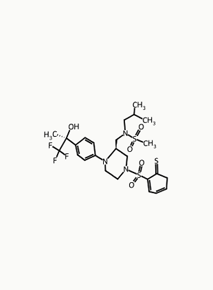 CC(C)CN(C[C@H]1CN(S(=O)(=O)C2=CC=CCC2=S)CCN1c1ccc([C@](C)(O)C(F)(F)F)cc1)S(C)(=O)=O